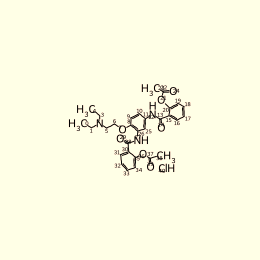 CCN(CC)CCOc1ccc(NC(=O)c2ccccc2OC(C)=O)cc1NC(=O)c1ccccc1OC(C)=O.Cl